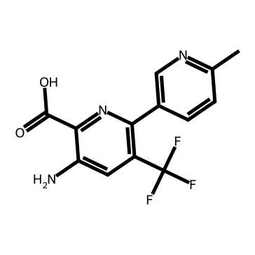 Cc1ccc(-c2nc(C(=O)O)c(N)cc2C(F)(F)F)cn1